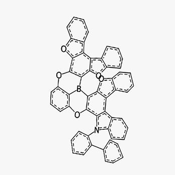 c1ccc(-c2ccccc2-n2c3ccccc3c3c4c(oc5ccccc54)c4c(c32)Oc2cccc3c2B4c2c(c4oc5ccccc5c4c4c2oc2ccccc24)O3)cc1